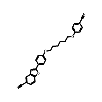 N#Cc1ccc(OCCCCCCOc2ccc(-c3cc4cc(C#N)ccc4o3)cc2)cc1